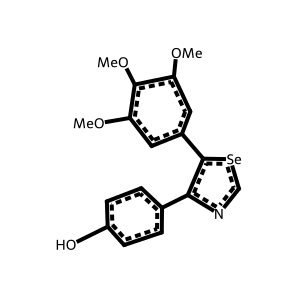 COc1cc(-c2[se]cnc2-c2ccc(O)cc2)cc(OC)c1OC